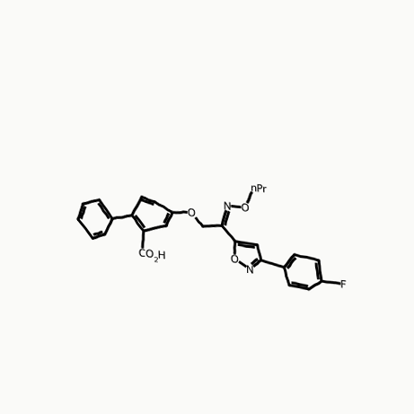 CCCON=C(COc1ccc(-c2ccccc2)c(C(=O)O)c1)c1cc(-c2ccc(F)cc2)no1